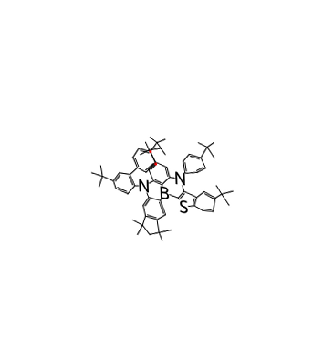 CC(C)(C)c1ccc(-c2cc(C(C)(C)C)ccc2N2c3cc4c(cc3B3c5sc6ccc(C(C)(C)C)cc6c5N(c5ccc(C(C)(C)C)cc5)c5cc(C(C)(C)C)cc2c53)C(C)(C)CC4(C)C)cc1